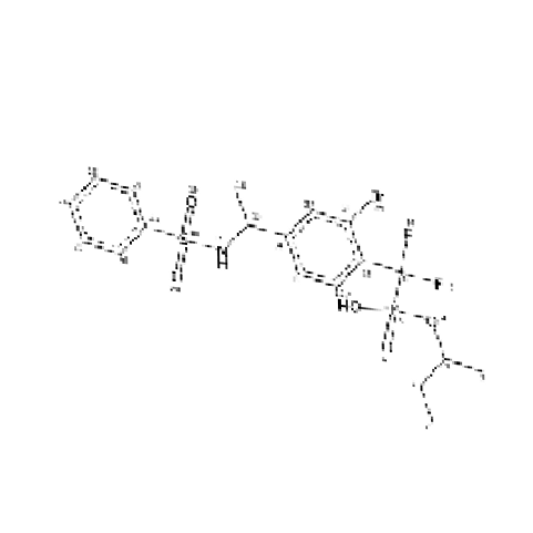 CCC(C)OP(=O)(O)C(F)(F)c1ccc(C(C)NS(=O)(=O)c2ccccc2)cc1Br